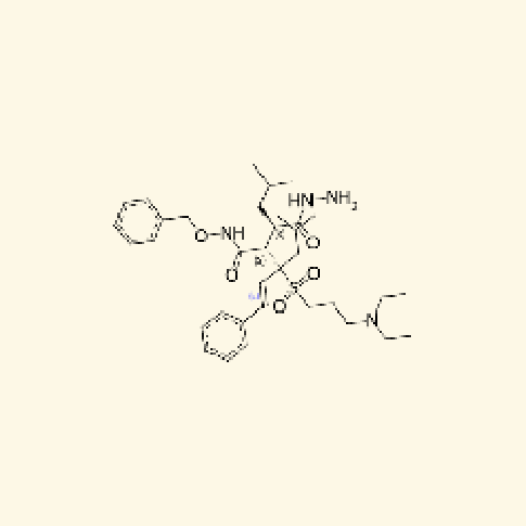 CCN(CC)CCCS(=O)(=O)C(/C=C/c1ccccc1)(CC(C)C)[C@H](C(=O)NOCc1ccccc1)[C@@H](CC(C)C)C(=O)NN